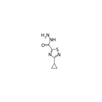 NNC(=O)c1nc(C2CC2)ns1